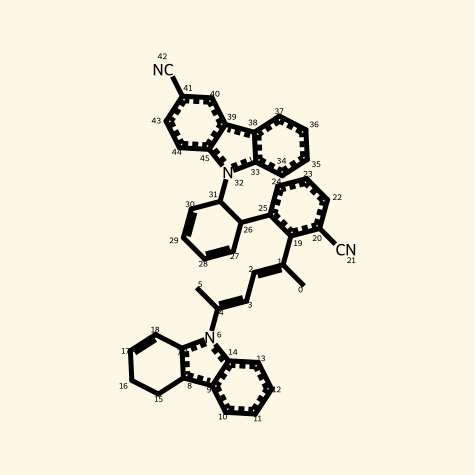 C/C(=C\C=C(/C)n1c2c(c3ccccc31)CCC=C2)c1c(C#N)cccc1C1C=CC=CC1n1c2ccccc2c2cc(C#N)ccc21